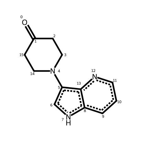 O=C1CCN(c2c[nH]c3cccnc23)CC1